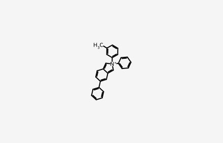 Cc1cccc([N+]2(c3ccccc3)C=c3ccc(-c4ccccc4)cc3=C2)c1